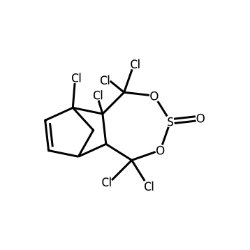 O=S1OC(Cl)(Cl)C2C3C=CC(Cl)(C3)C2(Cl)C(Cl)(Cl)O1